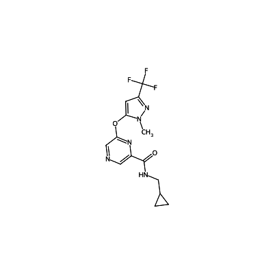 Cn1nc(C(F)(F)F)cc1Oc1cncc(C(=O)NCC2CC2)n1